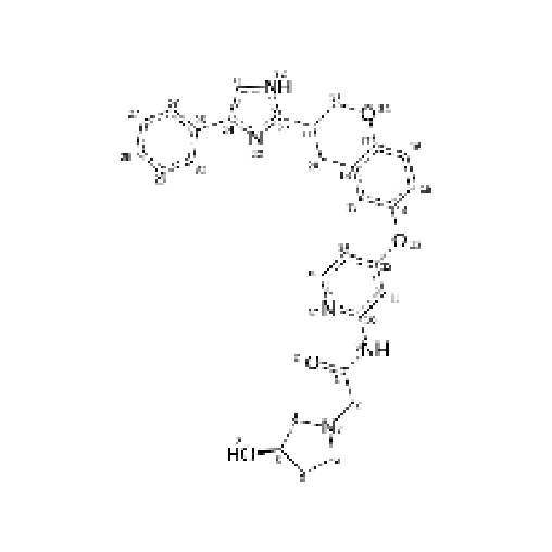 O=C(CN1CC[C@@H](O)C1)Nc1cc(Oc2ccc3c(c2)CC(c2nc(-c4ccccc4)c[nH]2)CO3)ccn1